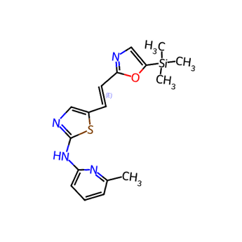 Cc1cccc(Nc2ncc(/C=C/c3ncc([Si](C)(C)C)o3)s2)n1